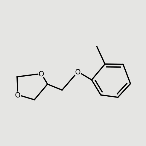 Cc1ccccc1OCC1COCO1